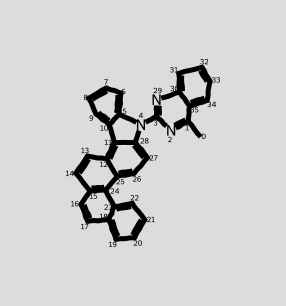 Cc1nc(-n2c3ccccc3c3c4ccc5ccc6ccccc6c5c4ccc32)nc2ccccc12